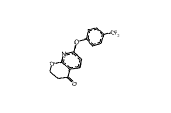 O=C1CCOc2nc(Oc3ccc(C(F)(F)F)cc3)ccc21